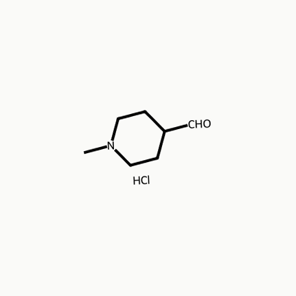 CN1CCC(C=O)CC1.Cl